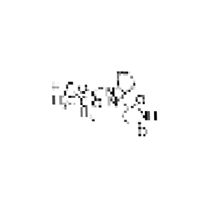 CC(C)(C)OC(=O)Cn1nc(C2CCC(=O)NC2=O)c2ccccc21